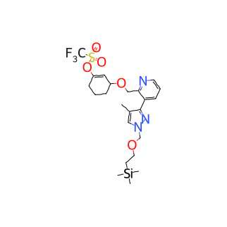 Cc1cn(COCC[Si](C)(C)C)nc1-c1cccnc1COC1C=C(OS(=O)(=O)C(F)(F)F)CCC1